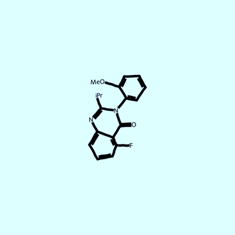 COc1ccccc1-n1c(C(C)C)nc2cccc(F)c2c1=O